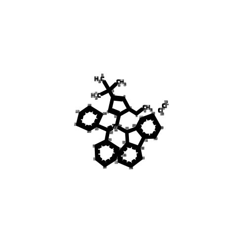 CCC1C=C(C(C)(C)C)C=[C]1[Zr+2](=[C](c1ccccc1)c1ccccc1)[CH]1c2ccccc2-c2ccccc21.[Cl-].[Cl-]